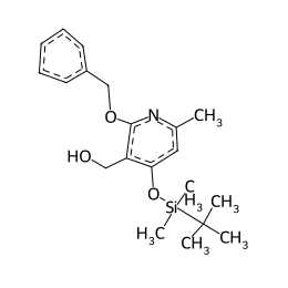 Cc1cc(O[Si](C)(C)C(C)(C)C)c(CO)c(OCc2ccccc2)n1